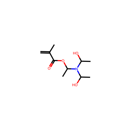 C=C(C)C(=O)OC(C)N(C(C)O)C(C)O